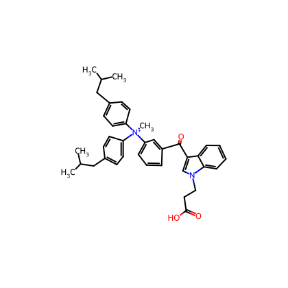 CC(C)Cc1ccc([N+](C)(c2ccc(CC(C)C)cc2)c2cccc(C(=O)c3cn(CCC(=O)O)c4ccccc34)c2)cc1